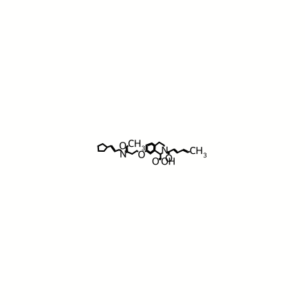 CC=CC=CC(=O)N1CCc2ccc(OCCc3nc(C=CC4CCCC4)oc3C)cc2C1C(=O)O